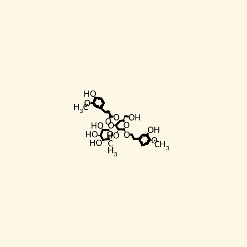 COc1ccc(CCO[C@@H]2O[C@H](CO)[C@@H](OC(=O)/C=C/c3ccc(O)c(OC)c3)[C@H](O[C@@H]3O[C@@H](C)[C@H](O)[C@@H](O)[C@H]3O)[C@H]2O)cc1O